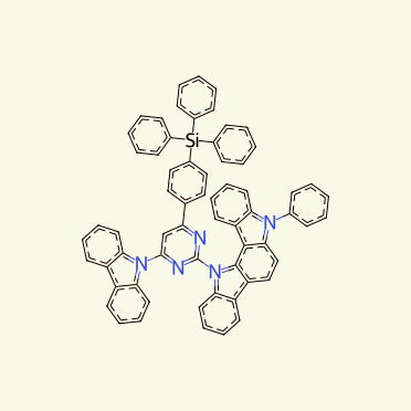 c1ccc(-n2c3ccccc3c3c2ccc2c4ccccc4n(-c4nc(-c5ccc([Si](c6ccccc6)(c6ccccc6)c6ccccc6)cc5)cc(-n5c6ccccc6c6ccccc65)n4)c23)cc1